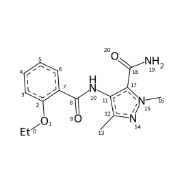 CCOc1ccccc1C(=O)Nc1c(C)nn(C)c1C(N)=O